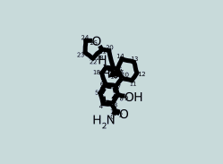 NC(=O)c1ccc2c(c1O)C13CCCC[C@@]1(O)[C@@H](C2)C(CC1CCCO1)CC3